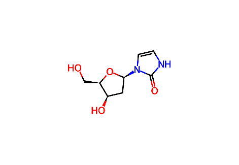 O=c1[nH]ccn1[C@H]1C[C@@H](O)[C@@H](CO)O1